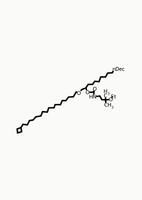 CCCCCCCCCCCCCCCCCCC(COCCCCCCCCCCCCCCCCCC1CCC1)OC(=O)NCCC(C)(C)OCC